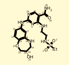 CCS(=O)(=O)NCCNc1nc(Nc2ccc3c(c2)NC[C@H](O)CO3)ncc1C(N)=O